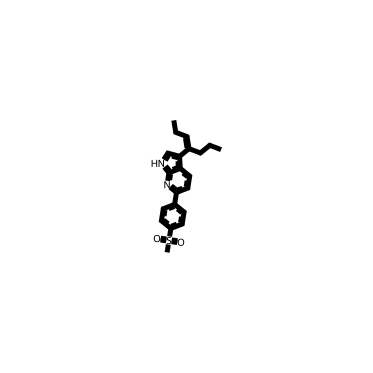 CC/C=C(/CCC)c1c[nH]c2nc(-c3ccc(S(C)(=O)=O)cc3)ccc12